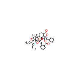 CC(C)[C@]12O[C@H]1C[C@@]1(O)[C@@]3(C)CCC4=C(/C(=C(\OC(=O)c5ccccc5)c5ccccc5)OC4=O)[C@@H]3C[C@@H]3O[C@@]31C2F